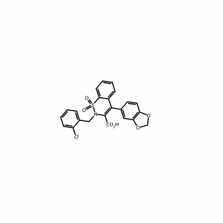 O=C(O)C1=C(c2ccc3c(c2)OCO3)c2ccccc2S(=O)(=O)N1Cc1ccccc1Cl